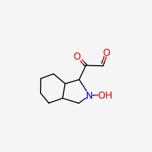 O=CC(=O)C1C2CCCCC2CN1O